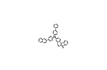 c1ccc(-c2ccc(N(c3ccc(-c4ccc5ccccc5c4)cc3)c3ccc4c(ccc5sc6ccccc6c54)c3)cc2)cc1